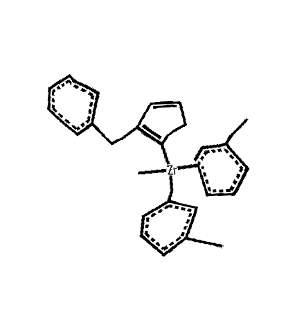 Cc1ccc[c]([Zr]([CH3])([C]2=C(Cc3ccccc3)C=CC2)[c]2cccc(C)c2)c1